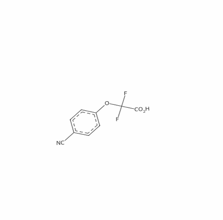 N#Cc1ccc(OC(F)(F)C(=O)O)cc1